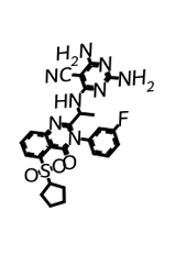 CC(Nc1nc(N)nc(N)c1C#N)c1nc2cccc(S(=O)(=O)C3CCCC3)c2c(=O)n1-c1cccc(F)c1